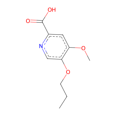 CCCOc1cnc(C(=O)O)cc1OC